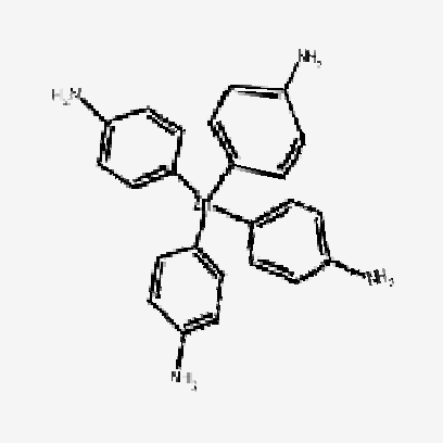 Nc1cc[c]([Zn]([c]2ccc(N)cc2)([c]2ccc(N)cc2)[c]2ccc(N)cc2)cc1